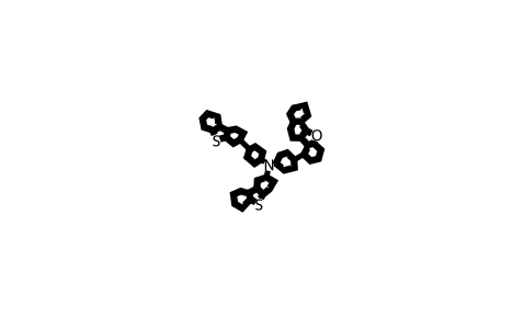 c1ccc2c(c1)ccc1c2oc2cccc(-c3ccc(N(c4ccc(-c5ccc6c(c5)sc5ccccc56)cc4)c4ccc5sc6ccccc6c5c4)cc3)c21